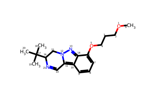 COCCCOc1cccc2c3n(nc12)CC(C(C)(C)C)N=C3